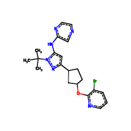 CC(C)(C)n1nc(C2CCC(Oc3ncccc3Br)C2)cc1Nc1cnccn1